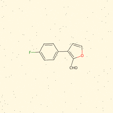 O=Cc1occc1-c1ccc(F)cc1